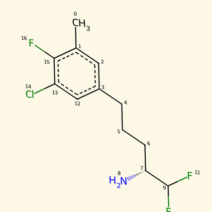 Cc1cc(CCC[C@@H](N)C(F)F)cc(Cl)c1F